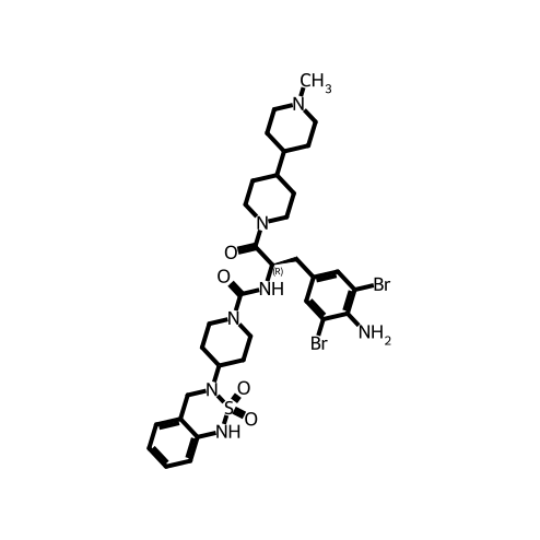 CN1CCC(C2CCN(C(=O)[C@@H](Cc3cc(Br)c(N)c(Br)c3)NC(=O)N3CCC(N4Cc5ccccc5NS4(=O)=O)CC3)CC2)CC1